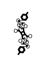 Cc1ccc(S(=O)(=O)ON2C(=O)C3C(C2=O)C2C(=O)N(OS(=O)(=O)c4ccc(C)cc4)C(=O)C32)cc1